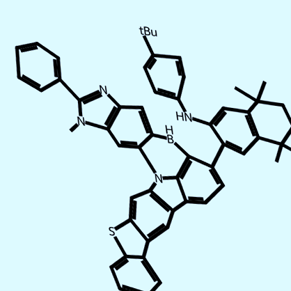 Cn1c(-c2ccccc2)nc2cc3c(cc21)-n1c2cc4sc5ccccc5c4cc2c2ccc(-c4cc5c(cc4Nc4ccc(C(C)(C)C)cc4)C(C)(C)CCC5(C)C)c(c21)B3